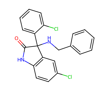 O=C1Nc2ccc(Cl)cc2C1(NCc1ccccc1)c1ccccc1Cl